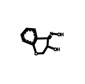 ON=C1c2ccccc2OCC1O